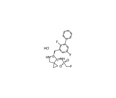 Cl.O=S(=O)(CF)N[C@@H]1[C@H](Cc2cc(F)cc(-c3ccccc3)c2F)NCC12CC2